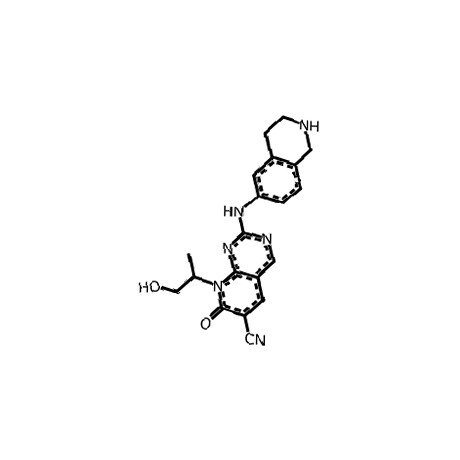 CC(CO)n1c(=O)c(C#N)cc2cnc(Nc3ccc4c(c3)CCNC4)nc21